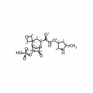 CC1CC(ONC(=O)[C@@H]2CC3(COC3)C3CN2C(=O)N3OS(=O)(=O)O)CN1